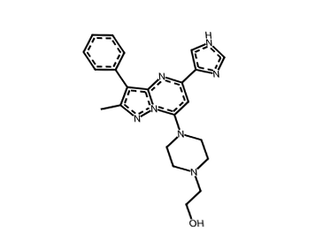 Cc1nn2c(N3CCN(CCO)CC3)cc(-c3c[nH]cn3)nc2c1-c1ccccc1